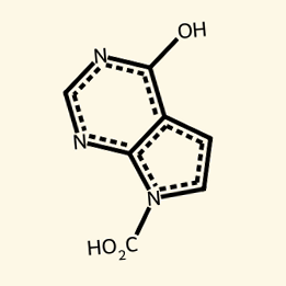 O=C(O)n1ccc2c(O)ncnc21